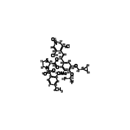 COc1cc(C)ccc1S(=O)(=O)N1CCS[C@H]1C(=O)O[C@@H](Cc1c(Cl)c[n+]([O-])cc1Cl)c1ccc(OC(F)F)c(OCC2CC2)c1